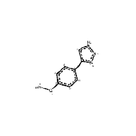 CCCOc1ccc(-c2c[nH]nn2)cc1